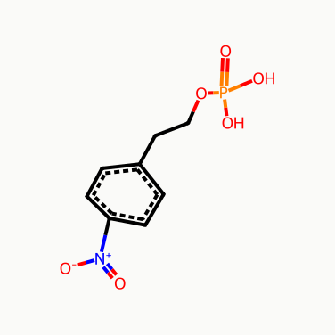 O=[N+]([O-])c1ccc(CCOP(=O)(O)O)cc1